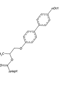 CCCCCCCCc1ccc(-c2ccc(OCC(C)OC(=O)CCCCCCC)cc2)cc1